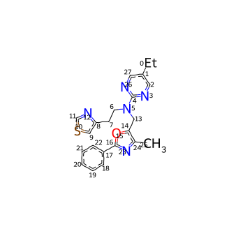 CCc1cnc(N(CCc2cs[c]n2)Cc2oc(-c3ccccc3)nc2C)nc1